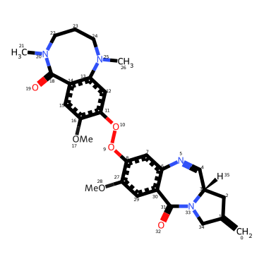 C=C1C[C@H]2C=Nc3cc(OOc4cc5c(cc4OC)C(=O)N(C)CCCN5C)c(OC)cc3C(=O)N2C1